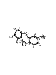 Brc1ccc2c(c1)Sc1ccccc1O2